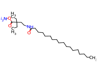 CCCCCCCCCCCCCCCCCC(=O)NCCC(CC)(CC)C(=O)ON